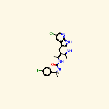 CC(=N)/C(Cc1c[nH]c2ncc(Cl)cc12)=C(/C)NC(=O)N[C@@H](C)c1ccc(F)cc1